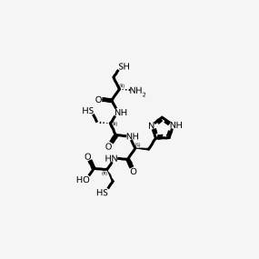 N[C@@H](CS)C(=O)N[C@@H](CS)C(=O)N[C@@H](Cc1c[nH]cn1)C(=O)N[C@@H](CS)C(=O)O